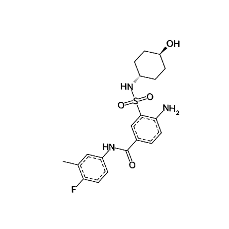 Cc1cc(NC(=O)c2ccc(N)c(S(=O)(=O)N[C@H]3CC[C@H](O)CC3)c2)ccc1F